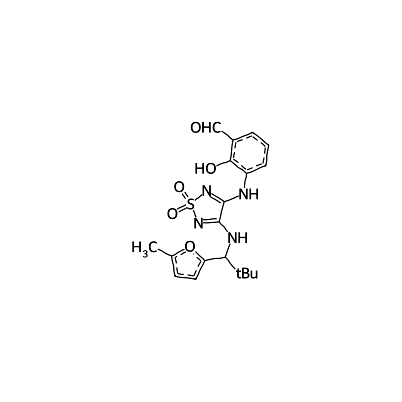 Cc1ccc(C(NC2=NS(=O)(=O)N=C2Nc2cccc(C=O)c2O)C(C)(C)C)o1